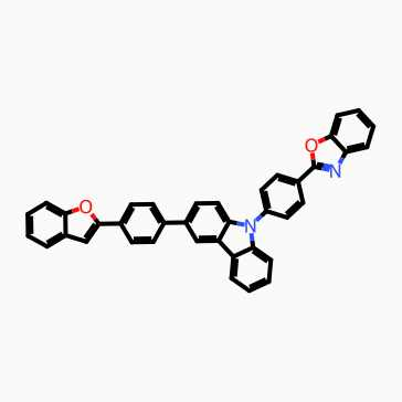 c1ccc2oc(-c3ccc(-c4ccc5c(c4)c4ccccc4n5-c4ccc(-c5nc6ccccc6o5)cc4)cc3)cc2c1